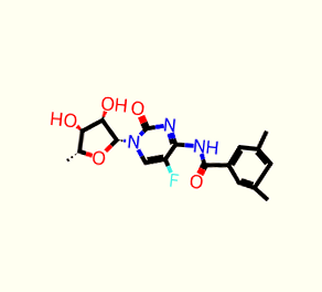 Cc1cc(C)cc(C(=O)Nc2nc(=O)n([C@@H]3O[C@H](C)[C@@H](O)[C@H]3O)cc2F)c1